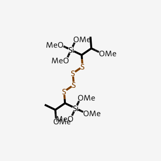 COC(C)C(SSSSC(C(C)OC)[Si](OC)(OC)OC)[Si](OC)(OC)OC